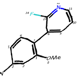 COc1cc([N+](=O)[O-])ccc1-c1cccnc1F